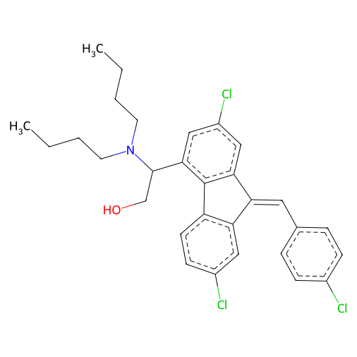 CCCCN(CCCC)C(CO)c1cc(Cl)cc2c1-c1ccc(Cl)cc1C2=Cc1ccc(Cl)cc1